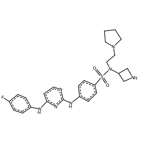 O=S(=O)(c1ccc(Nc2nccc(Nc3ccc(F)cc3)n2)cc1)N(CCN1CCCC1)C1CNC1